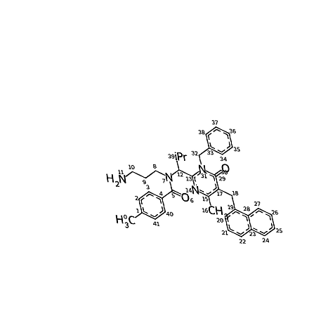 Cc1ccc(C(=O)N(CCCN)C(c2nc(C)c(Cc3cccc4ccccc34)c(=O)n2Cc2ccccc2)C(C)C)cc1